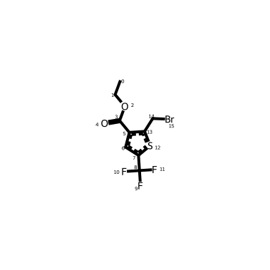 CCOC(=O)c1cc(C(F)(F)F)sc1CBr